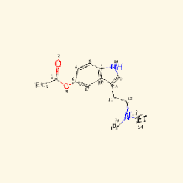 CCC(=O)Oc1ccc2[nH]cc(CCN(CC)C(C)C)c2c1